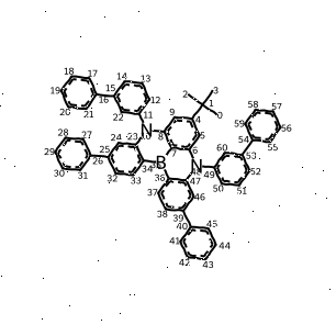 CC(C)(C)c1cc2c3c(c1)N(c1cccc(-c4ccccc4)c1)c1cc(-c4ccccc4)ccc1B3c1ccc(-c3ccccc3)cc1N2c1cccc(-c2ccccc2)c1